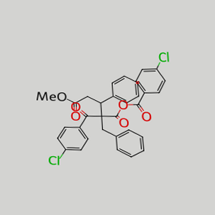 COC(=O)CC(c1ccccc1)C(Cc1ccccc1)(C(=O)OC(=O)c1ccc(Cl)cc1)C(=O)c1ccc(Cl)cc1